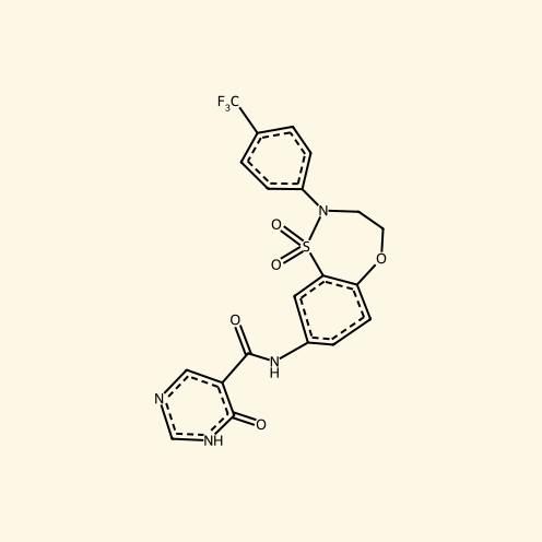 O=C(Nc1ccc2c(c1)S(=O)(=O)N(c1ccc(C(F)(F)F)cc1)CCO2)c1cnc[nH]c1=O